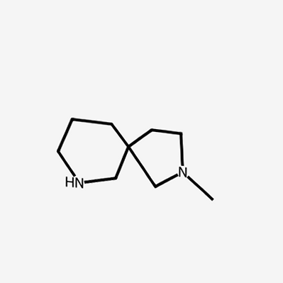 CN1CCC2(CCCNC2)C1